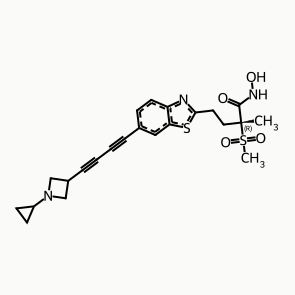 C[C@@](CCc1nc2ccc(C#CC#CC3CN(C4CC4)C3)cc2s1)(C(=O)NO)S(C)(=O)=O